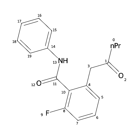 CCCC(=O)Cc1cccc(F)c1C(=O)Nc1ccccc1